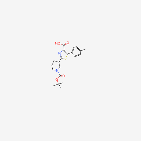 Cc1ccc(-c2sc(C3CCCN(C(=O)OC(C)(C)C)C3)nc2C(=O)O)cc1